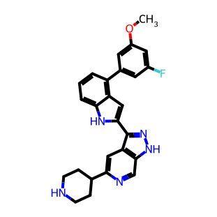 COc1cc(F)cc(-c2cccc3[nH]c(-c4n[nH]c5cnc(C6CCNCC6)cc45)cc23)c1